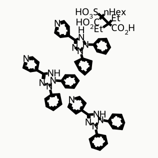 CCCCCCC(C(=O)O)(C(CC)(CC)C(=O)O)S(=O)(=O)O.c1ccc(N2N=C(c3ccncc3)NN2c2ccccc2)cc1.c1ccc(N2N=C(c3ccncc3)NN2c2ccccc2)cc1.c1ccc(N2N=C(c3ccncc3)NN2c2ccccc2)cc1